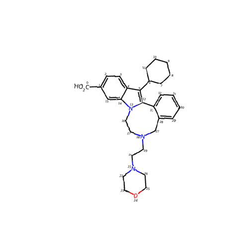 O=C(O)c1ccc2c(C3CCCCC3)c3n(c2c1)CCN(CCN1CCOCC1)Cc1ccccc1-3